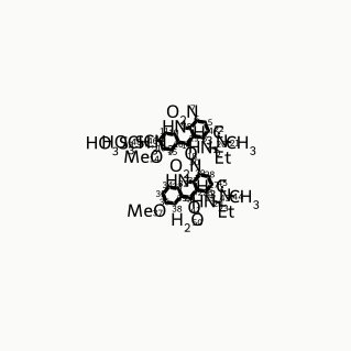 CCC(Nc1ccc([N+](=O)[O-])c2[nH]c3ccc(OC)cc3c(=O)c12)N(C)C.CCC(Nc1ccc([N+](=O)[O-])c2[nH]c3ccc(OC)cc3c(=O)c12)N(C)C.CS(=O)(=O)O.CS(=O)(=O)O.O